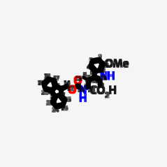 COc1cccc2c([C@H](C)[C@H](NC(=O)OCC3c4ccccc4-c4ccccc43)C(=O)O)c(C)[nH]c12